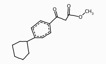 COC(=O)CC(=O)c1ccc(C2CCCCC2)cc1